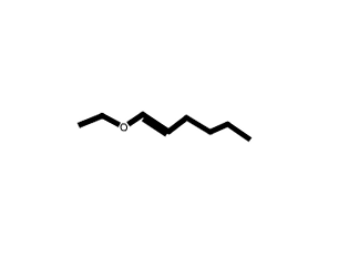 C[CH]O/C=C/CCCC